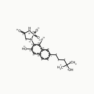 CC(C)(O)CCCc1ccc2cc(O)c(N3CC(=O)NS3(=O)=O)c(F)c2c1